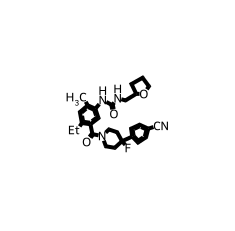 CCc1cc(C)c(NC(=O)NCC2CCCO2)cc1C(=O)N1CCC(F)(c2ccc(C#N)cc2)CC1